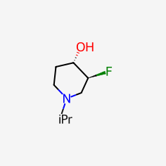 CC(C)N1CC[C@H](O)[C@@H](F)C1